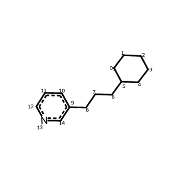 [CH]1CCCCC1CCCc1cccnc1